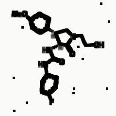 COc1ccc([C@@H]2CN(CCO)C(=O)[C@@H]2NC(=O)Nc2ccc(F)cc2)cc1